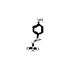 O=[N+]([O-])c1ccc(NO[SH](=O)=O)cc1